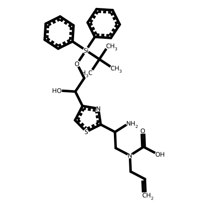 C=CCN(CC(N)c1nc(C(O)CO[Si](c2ccccc2)(c2ccccc2)C(C)(C)C)cs1)C(=O)O